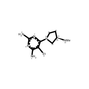 CCc1c(N)nc(N)nc1N1CC[C@@H](NC)C1